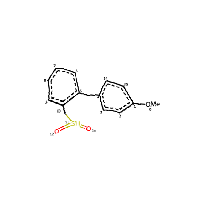 COc1ccc(-c2ccccc2[SH](=O)=O)cc1